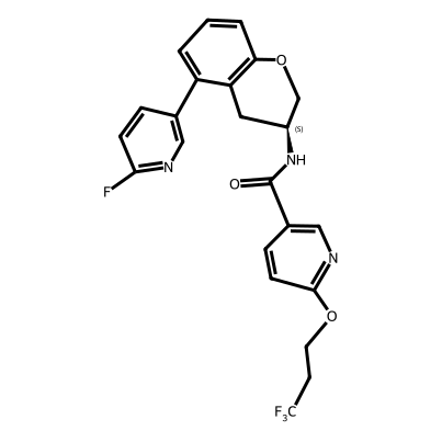 O=C(N[C@@H]1COc2cccc(-c3ccc(F)nc3)c2C1)c1ccc(OCCC(F)(F)F)nc1